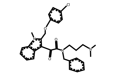 CN(C)CCCN(Cc1ccccc1)C(=O)C(=O)c1c(COc2ccc(Cl)cc2)n(C)c2ccccc12